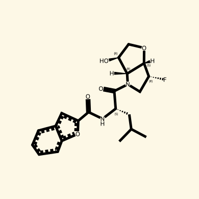 CC(C)C[C@H](NC(=O)c1cc2ccccc2o1)C(=O)N1C[C@@H](F)[C@H]2OC[C@H](O)[C@H]21